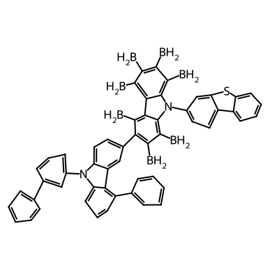 Bc1c(B)c(B)c2c(c1B)c1c(B)c(-c3ccc4c(c3)c3c(-c5ccccc5)cccc3n4-c3cccc(-c4ccccc4)c3)c(B)c(B)c1n2-c1ccc2c(c1)sc1ccccc12